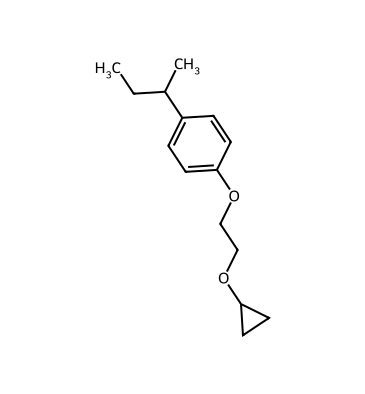 CCC(C)c1ccc(OCCOC2CC2)cc1